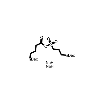 CCCCCCCCCCCCCC(=O)OS(=O)(=O)CCCCCCCCCCCCC.[NaH].[NaH]